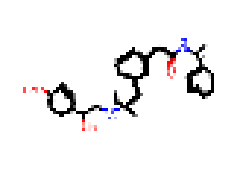 C[C@H](NC(=O)Cc1cccc(CC(C)(C)NCC(O)c2ccc(O)cc2)c1)c1ccccc1